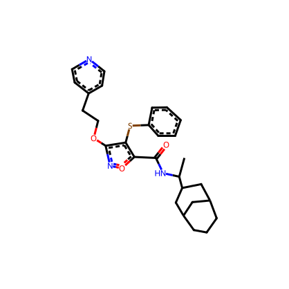 CC(NC(=O)c1onc(OCCc2ccncc2)c1Sc1ccccc1)C1CC2CCCC(C2)C1